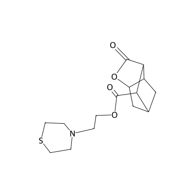 O=C(OCCN1CCSCC1)C1C2CC3OC(=O)C1C3C2